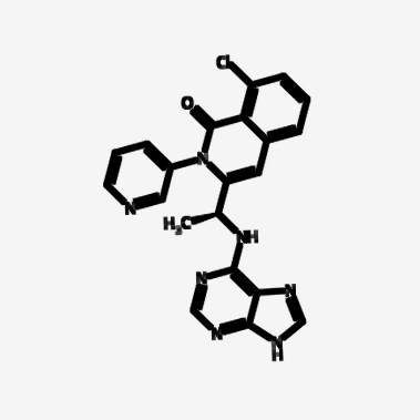 C[C@H](Nc1ncnc2[nH]cnc12)c1cc2cccc(Cl)c2c(=O)n1-c1cccnc1